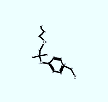 CCCOCC(C)(C)Oc1ccc(CBr)cc1